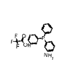 N.O=C(O)C(F)(F)F.c1ccc(P(c2ccccc2)c2ccccc2)cc1